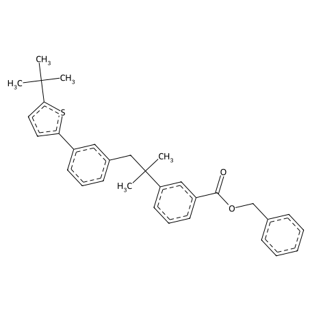 CC(C)(C)c1ccc(-c2cccc(CC(C)(C)c3cccc(C(=O)OCc4ccccc4)c3)c2)s1